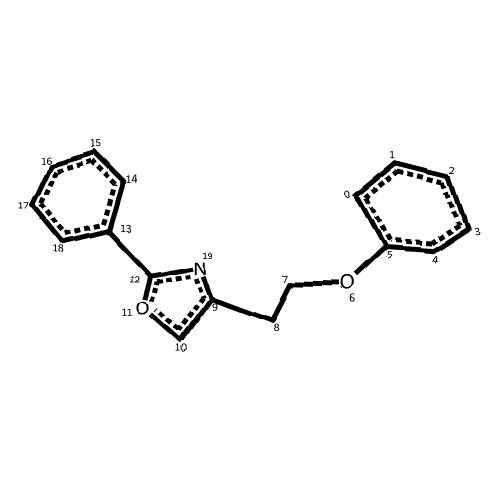 [c]1ccccc1OCCc1coc(-c2ccccc2)n1